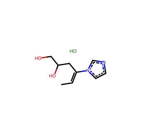 CC=C(CC(O)CO)n1ccnc1.Cl